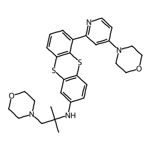 CC(C)(CN1CCOCC1)Nc1ccc2c(c1)Sc1cccc(-c3cc(N4CCOCC4)ccn3)c1S2